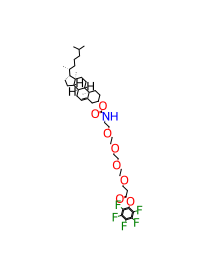 CC(C)CCC[C@@H](C)[C@H]1CC[C@H]2[C@@H]3CC=C4C[C@@H](OC(=O)NCCOCCOCCOCCOCCC(=O)Oc5c(F)c(F)c(F)c(F)c5F)CC[C@]4(C)[C@H]3CC[C@]12C